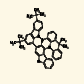 CC(C)(C)c1ccc2c(c1)c1cc(C(C)(C)C)cc3c1n2B1c2cccc4c2N(c2ccccc2C4(C)C)c2c1c-3cc1oc3ccccc3c21